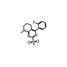 CN1CCCc2c(-c3ccccc3F)nc(S(C)(=O)=O)nc21